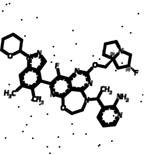 Cc1cc2c(cnn2C2CCCCO2)c(-c2nc3c4c(nc(OC[C@@]56CCCN5C[C@H](F)C6)nc4c2F)N(C(C)c2cccnc2N)CCO3)c1C